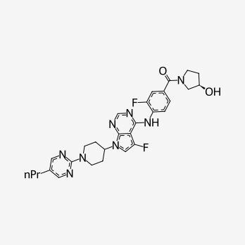 CCCc1cnc(N2CCC(n3cc(F)c4c(Nc5ccc(C(=O)N6CC[C@@H](O)C6)cc5F)ncnc43)CC2)nc1